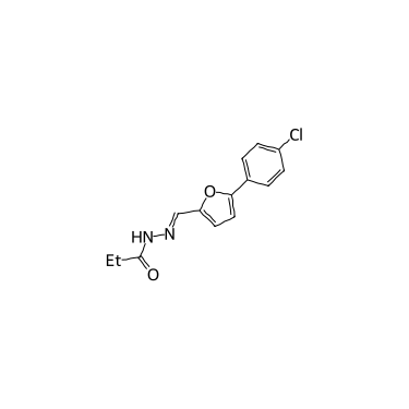 CCC(=O)N/N=C/c1ccc(-c2ccc(Cl)cc2)o1